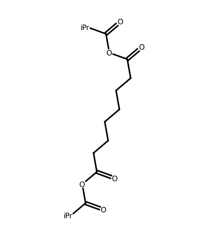 CC(C)C(=O)OC(=O)CCCCCCC(=O)OC(=O)C(C)C